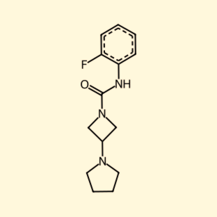 O=C(Nc1ccccc1F)N1CC(N2CCCC2)C1